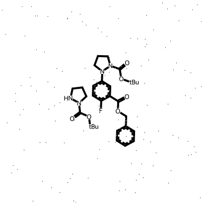 CC(C)(C)OC(=O)N1CCCN1.CC(C)(C)OC(=O)N1CCCN1c1ccc(F)c(C(=O)OCc2ccccc2)c1